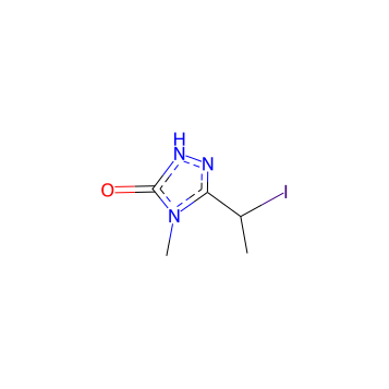 CC(I)c1n[nH]c(=O)n1C